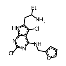 CCC(N)Cc1[nH]c2nc(Cl)nc(NCc3ccco3)c2c1Cl